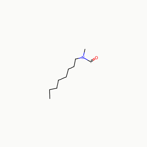 CCCCCCCCN(C)[C]=O